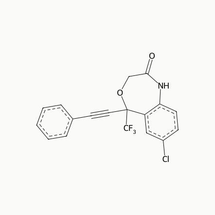 O=C1COC(C#Cc2ccccc2)(C(F)(F)F)c2cc(Cl)ccc2N1